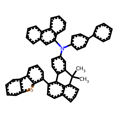 CC1(C)c2cc(N(c3ccc(-c4ccccc4)cc3)c3cc4ccccc4c4ccccc34)ccc2-c2c(-c3cccc4c3sc3ccccc34)ccc3cccc1c23